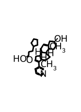 C[C@]12CC[C@H](O)CC1=CC[C@@H]1[C@@H]2CC[C@]2(C)C(c3cccnc3)=CC[C@@H]12.O=C(O)CCC1CCCC1